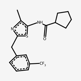 Cc1nc(Cc2cccc(C(F)(F)F)c2)sc1NC(=O)C1CCCC1